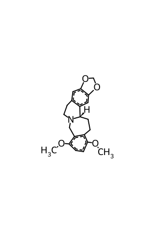 COc1ccc(OC)c2c1CC[C@H]1c3cc4c(cc3CCN1C2)OCO4